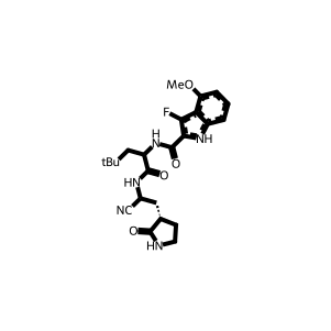 COc1cccc2[nH]c(C(=O)NC(CC(C)(C)C)C(=O)NC(C#N)C[C@@H]3CCNC3=O)c(F)c12